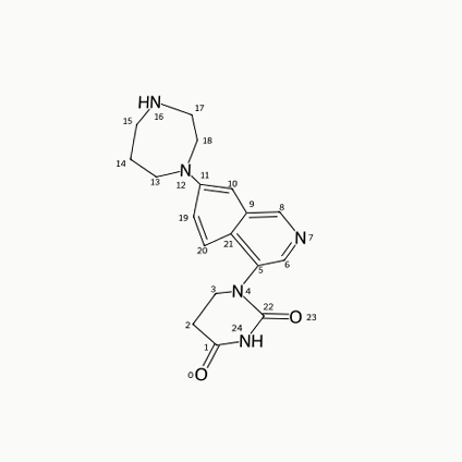 O=C1CCN(c2cncc3cc(N4CCCNCC4)ccc23)C(=O)N1